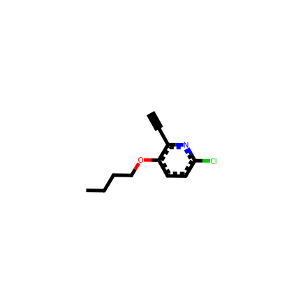 C#Cc1nc(Cl)ccc1OCCCC